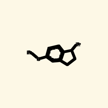 CC(C)Oc1ccc2c(c1)CCC2C(C)C